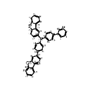 c1ccc(-c2ccc(N(c3ccc(-c4cnc5c(c4)oc4ccccc45)cc3)c3ccc4sc5ccccc5c4c3)cc2)cc1